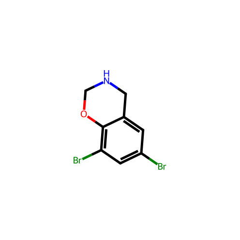 Brc1cc(Br)c2c(c1)CNCO2